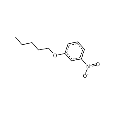 CCCCCOc1cccc([N+](=O)[O-])c1